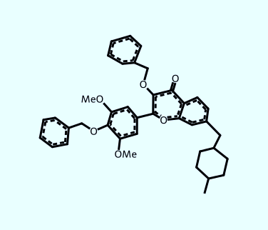 COc1cc(-c2oc3cc(CC4CCC(C)CC4)ccc3c(=O)c2OCc2ccccc2)cc(OC)c1OCc1ccccc1